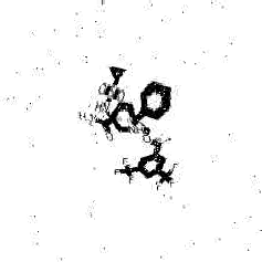 C[C@@H](OC[C@@]1(c2ccccc2)CC[C@@](NS(=O)(=O)C2CC2)(C(N)=O)CN1)c1cc(C(F)(F)F)cc(C(F)(F)F)c1